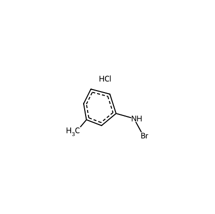 Cc1cccc(NBr)c1.Cl